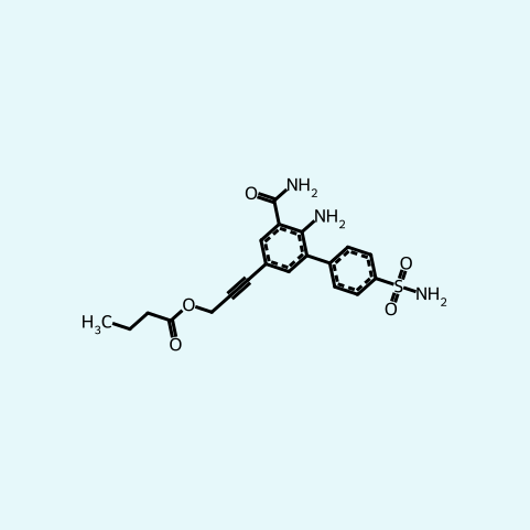 CCCC(=O)OCC#Cc1cc(C(N)=O)c(N)c(-c2ccc(S(N)(=O)=O)cc2)c1